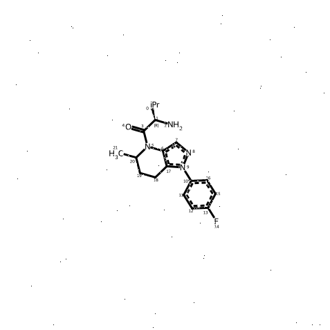 CC(C)[C@@H](N)C(=O)N1c2cnn(-c3ccc(F)cc3)c2CCC1C